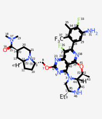 CC[C@@H]1CN2c3nc(OC[C@@H]4CC[C@H]5C[C@@H](C(=O)N(C)C)CCN45)nc4c(F)c(-c5cc(N)c(F)c(C)c5C(F)(F)F)nc(c34)O[C@@H](C)[C@@H]2CN1